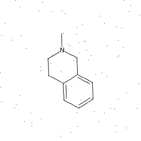 [CH2]N1CCc2ccccc2C1